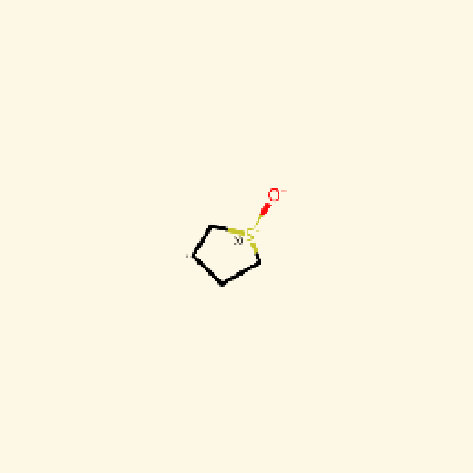 [O-][S@+]1C[CH]CC1